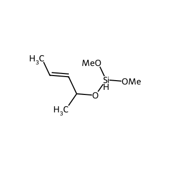 CC=CC(C)O[SiH](OC)OC